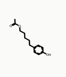 CC(=O)OCCCCCc1ccc(O)cc1